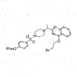 COc1ccc(S(=O)(=O)N2CCN(C(C)c3nc(OCCC(C)C)c4ccccc4n3)CC2)cc1